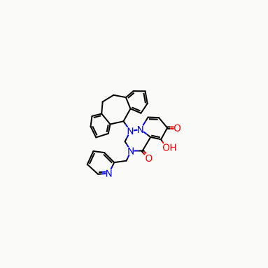 O=C1c2c(O)c(=O)ccn2N(C2c3ccccc3CCc3ccccc32)CN1Cc1ccccn1